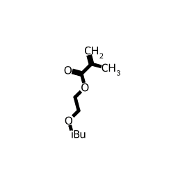 C=C(C)C(=O)OCCOC(C)CC